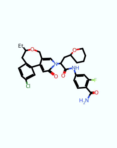 CCC1Cc2ccc(Cl)cc2-c2cc(=O)n(C(CC3CCCCO3)C(=O)Nc3ccc(C(N)=O)c(F)c3)cc2CO1